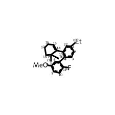 CCc1ccc(-c2cc(OC)ccc2F)c(C2=CCCCC2(C)C)c1